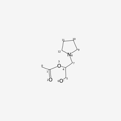 CC(=O)OC(C[O])CN1CCCC1